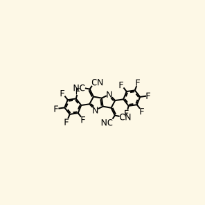 N#CC(C#N)=C1C(c2c(F)c(F)c(F)c(F)c2F)=NC2=C1N=C(c1c(F)c(F)c(F)c(F)c1F)C2=C(C#N)C#N